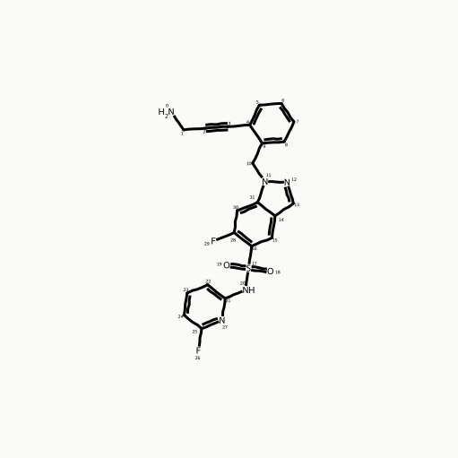 NCC#Cc1ccccc1Cn1ncc2cc(S(=O)(=O)Nc3cccc(F)n3)c(F)cc21